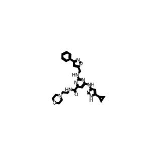 O=C(NCCN1CCOCC1)c1cc(Nc2cc(C3CC3)[nH]n2)nc(NCc2cc(-c3ccccc3)no2)n1